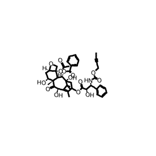 CC#CCOC(=O)N[C@@H](c1ccccc1)[C@@H](O)C(=O)OC1C[C@@]2(O)[C@@H](OC(=O)c3ccccc3)[C@@H]3[C@]4(OC(C)=O)CO[C@@H]4C[C@H](O)[C@@]3(C)C(=O)[C@H](O)C(=C1C)C2(C)C